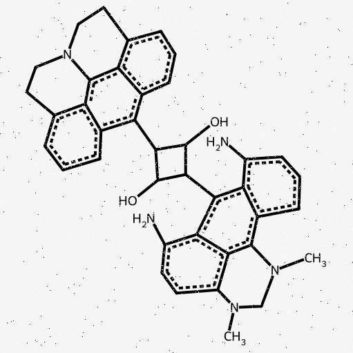 CN1CN(C)c2c3cccc(N)c3c(C3C(O)C(c4c5cccc6c5c5c7c(cccc47)CCN5CC6)C3O)c3c(N)ccc1c23